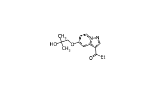 CCC(=O)c1cnn2ccc(OCC(C)(C)O)cc12